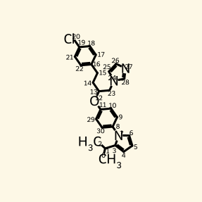 CC(C)c1cccn1-c1ccc(OC(CCc2ccc(Cl)cc2)Cn2ccnc2)cc1